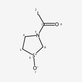 O=C(I)N1CC[S+]([O-])C1